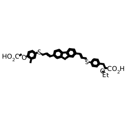 CCOC(Cc1ccc(SCC=Cc2ccc3c(c2)Cc2cc(C=CCSc4ccc(OCC(=O)O)c(C)c4)ccc2-3)cc1)C(=O)O